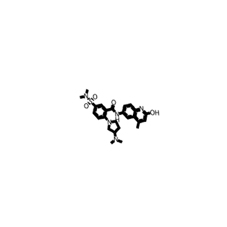 Cc1cc(O)nc2ccc(NC(=O)c3cc(S(=O)(=O)N(C)C)ccc3N3CCC(N(C)C)C3)cc12